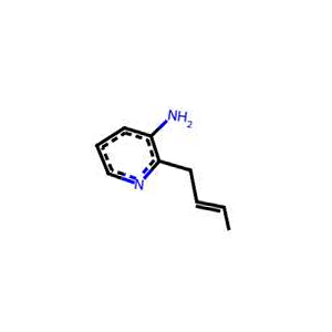 CC=CCc1ncccc1N